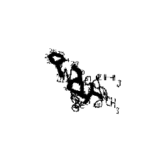 COC(=O)C(C(=O)OC)C(C[N+](=O)[O-])c1cc2c(cc1F)N(Cc1ccccc1)CC2